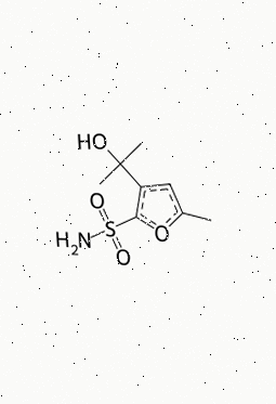 Cc1cc(C(C)(C)O)c(S(N)(=O)=O)o1